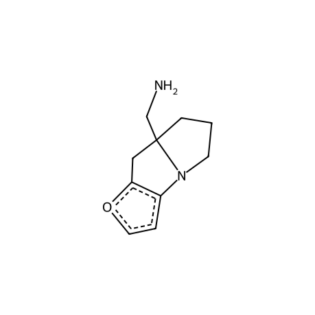 NCC12CCCN1c1ccoc1C2